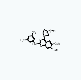 CCN[C@H]1CCN(c2nc(Nc3cc(N)cc(C(F)(F)F)c3)nc3cc(OC)c(OC)cc23)C1